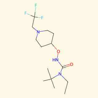 CCN(C(=O)NOC1CCN(CC(F)(F)F)CC1)C(C)(C)C